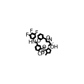 CC1CC[C@@H](C[C@](C)(O)c2cc(-c3ccccc3)on2)C1S(=O)(=O)c1cc(C(=O)Nc2cc(F)c(F)c(F)c2)ccc1Cl